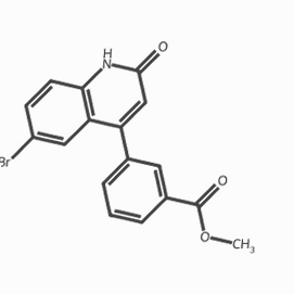 COC(=O)c1cccc(-c2cc(=O)[nH]c3ccc(Br)cc23)c1